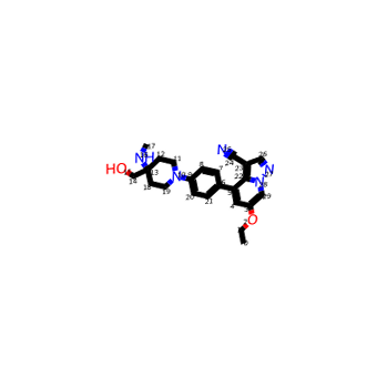 CCOc1cc(-c2ccc(N3CCC(CO)(NC)CC3)cc2)c2c(C#N)cnn2c1